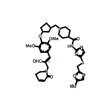 COc1cc(/C=C(\C=O)CN2CCC=CC2=O)cc(OC)c1OC1CCC(CN2CCC(C(=O)Nc3ncc(SCc4ncc(C(C)(C)C)o4)s3)CC2)C1